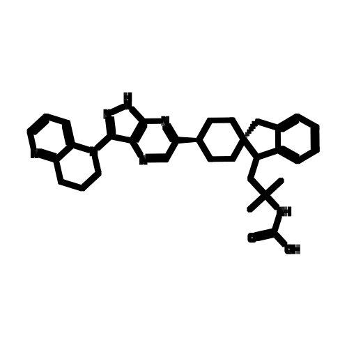 CC(C)(CC1c2ccccc2C[C@]12CC[C@H](c1cnc3c(N4CCCc5ncccc54)n[nH]c3n1)CC2)NC(=O)O